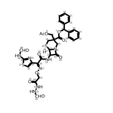 CC(=O)OCC1(C(=O)OC(c2ccccc2)c2ccccc2)CS[C@@H]2C(NC(=O)C(=NOCC(=O)NNC=O)c3csc(NC=O)n3)C(=O)N2C1